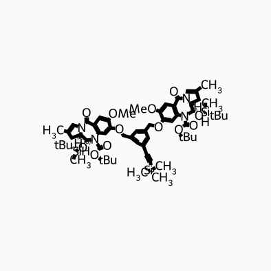 COc1cc2c(cc1OCc1cc(C#C[Si](C)(C)C)cc(COc3cc4c(cc3OC)C(=O)N3C=C(C)C[C@H]3[C@H](O[SiH](C)C(C)(C)C)N4C(=O)OC(C)(C)C)c1)N(C(=O)OC(C)(C)C)[C@@H](O[SiH](C)C(C)(C)C)[C@@H]1CC(C)=CN1C2=O